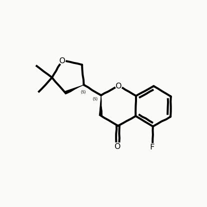 CC1(C)C[C@H]([C@@H]2CC(=O)c3c(F)cccc3O2)CO1